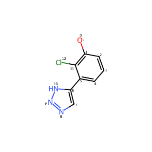 [O]c1cccc(-c2cnn[nH]2)c1Cl